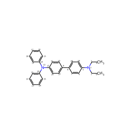 CCN(CC)c1ccc(-c2ccc(N(c3ccccc3)c3ccccc3)cc2)cc1